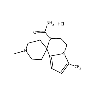 CN1CCC2(CC1)c1ccc(C(F)(F)F)n1CCN2C(N)=O.Cl